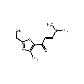 CCc1nc(C)c(C(=O)/C=C/N(C)C)s1